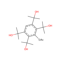 CC(=O)Oc1c(C(C)(C)O)c(C(C)(C)O)cc(C(C)(C)O)c1C(C)(C)O